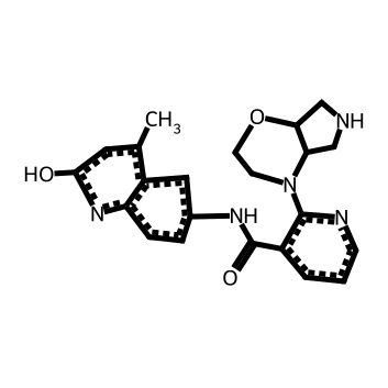 Cc1cc(O)nc2ccc(NC(=O)c3cccnc3N3CCOC4CNCC43)cc12